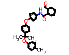 Cc1ccc(OC(C)(C)c2ccc(Oc3ccc(NC(=O)c4ccccc4C=O)cc3)cc2)cc1